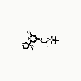 CO[C@@]1(c2cc(OC[C@@H](C)O[Si](C)(C)C(C)(C)C)cc(Cl)n2)CCOC1